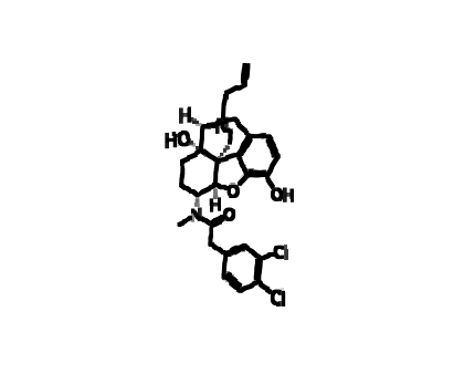 C=CCN1CC[C@]23c4c5ccc(O)c4O[C@H]2[C@H](N(C)C(=O)Cc2ccc(Cl)c(Cl)c2)CC[C@@]3(O)[C@H]1C5